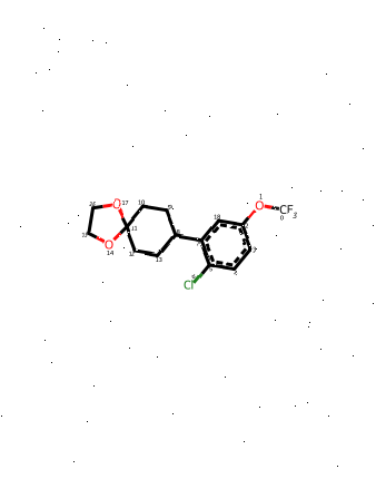 FC(F)(F)Oc1ccc(Cl)c(C2CCC3(CC2)OCCO3)c1